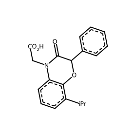 CC(C)c1cccc2c1OC(c1ccccc1)C(=O)N2CC(=O)O